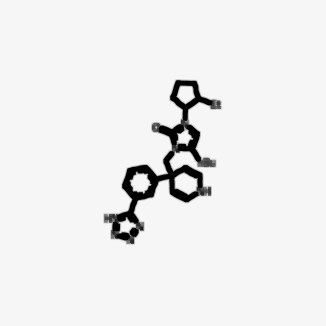 CCCCc1cn(C2CCCC2CC)c(=O)n1CC1(c2cccc(-c3nnn[nH]3)c2)C=CNC=C1